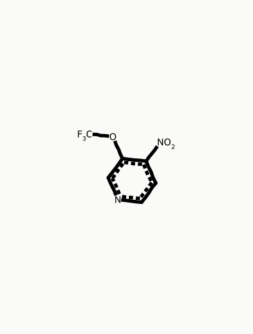 O=[N+]([O-])c1ccncc1OC(F)(F)F